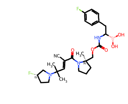 CC(C)(C=C(C#N)C(=O)N1CCC[C@]1(C)COC(=O)NC(Cc1ccc(F)cc1)B(O)O)N1CC[C@H](F)C1